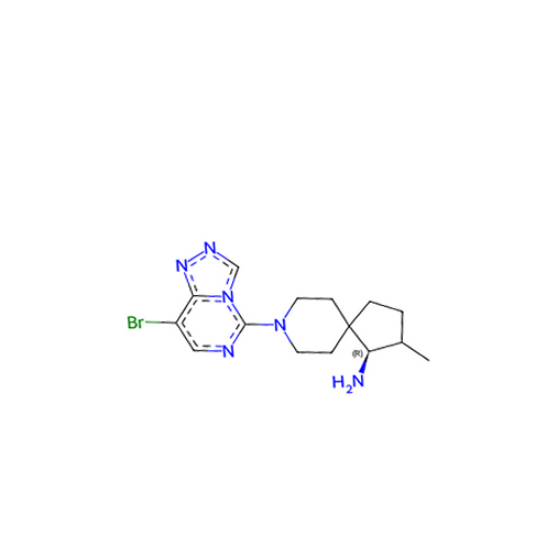 CC1CCC2(CCN(c3ncc(Br)c4nncn34)CC2)[C@@H]1N